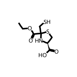 CCOC(=O)C1(CS)N[C@H](C(=O)O)CS1